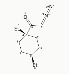 CC[C@H]1CC[C@](CC)(C(=O)C=[N+]=[N-])CC1